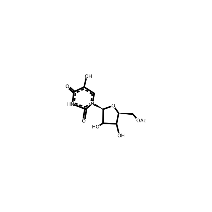 CC(=O)OC[C@@H]1O[C@H](n2cc(O)c(=O)[nH]c2=O)C(O)C1O